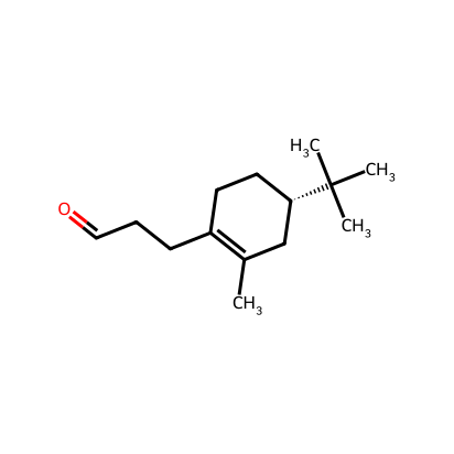 CC1=C(CCC=O)CC[C@H](C(C)(C)C)C1